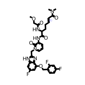 COCC(=O)NC(CC/C=C/C(=O)N(C)C)C(=O)Nc1cccn(Cc2nc3c(OCc4ccc(F)cc4F)cc(F)cc3[nH]2)c1=O